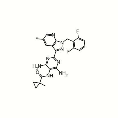 CC1(C(=O)Nc2c(N)nc(-c3nn(Cc4c(F)cccc4F)c4ncc(F)cc34)nc2N)CC1